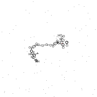 CC(C)(C)[C@@H](CS(=O)(=O)N1CCN(C(=O)COCCOCCOCCOCC(=O)N2CCN(C(=O)c3ccc(Nc4nc(C5CC5)cn5c(-c6cn[nH]c6)cnc45)c(F)c3)CC2)CC1)N1C(=O)[C@@](C)(CC(=O)O)C[C@H](c2cccc(Cl)c2)[C@H]1c1ccc(Cl)cc1